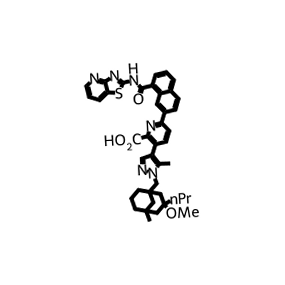 CCCC1(OC)CC2(C)CCCC(Cn3ncc(-c4ccc(-c5ccc6cccc(C(=O)Nc7nc8ncccc8s7)c6c5)nc4C(=O)O)c3C)(C2)C1